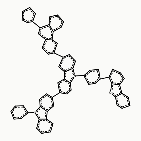 c1ccc(-c2cc3ccc(-c4ccc5c(c4)c4cc(-c6ccc7c(c6)c6ccccc6n7-c6ccccc6)ccc4n5-c4ccc(-c5cccc6c5oc5ccccc56)cc4)cc3c3ccccc23)cc1